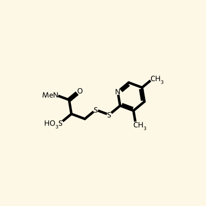 CNC(=O)C(CSSc1ncc(C)cc1C)S(=O)(=O)O